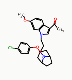 COc1ccc2c(C(C)=O)cn(CCCN3C4CCC3CC(Oc3ccc(Cl)cc3)C4)c2c1